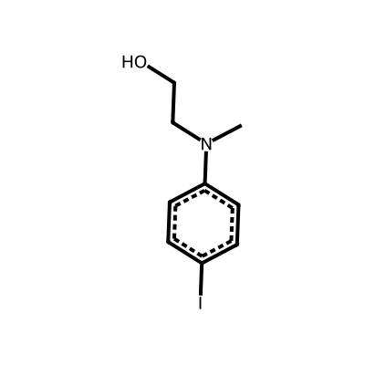 CN(CCO)c1ccc(I)cc1